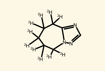 [2H]C1([2H])c2ncnn2C([2H])([2H])C([2H])([2H])C([2H])([2H])C1([2H])[2H]